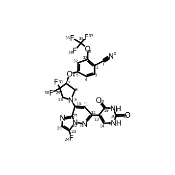 N#Cc1ccc(O[C@H]2CN(c3cc(-c4c[nH]c(=O)[nH]c4=O)nn4c(F)cnc34)CC2(F)F)cc1OC(F)(F)F